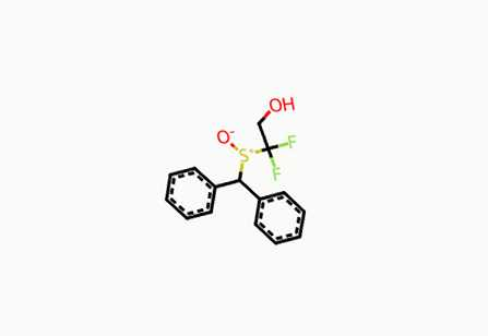 [O-][S+](C(c1ccccc1)c1ccccc1)C(F)(F)CO